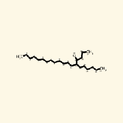 CCCCCCCCCCCCCC(CCCCCC)C([O])CCC